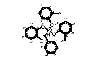 Cc1ccccc1O[PH](Cc1ccccc1)(Oc1ccccc1C)Oc1ccccc1C